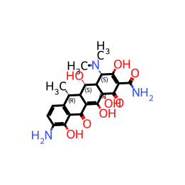 C[C@H]1c2ccc(N)c(O)c2C(=O)C2=C(O)[C@]3(O)C(=O)C(C(N)=O)=C(O)[C@@H](N(C)C)C3[C@@H](O)C21